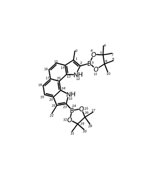 Cc1c(B2OC(C)(C)C(C)(C)O2)[nH]c2c1ccc1ccc3c(C)c(B4OC(C)(C)C(C)(C)O4)[nH]c3c12